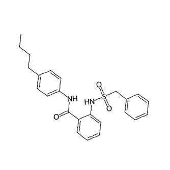 CCCCc1ccc(NC(=O)c2ccccc2NS(=O)(=O)Cc2ccccc2)cc1